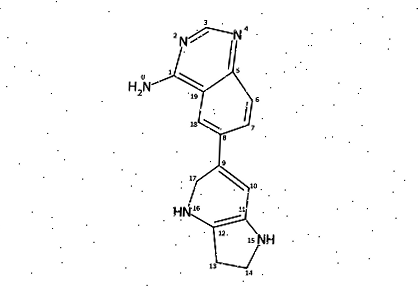 Nc1ncnc2ccc(C3=CC4=C(CCN4)NC3)cc12